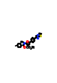 CCOC(=O)c1cc(-c2ccc(-c3cn4ccsc4n3)cc2)oc1N(C(=O)[C@H]1CC[C@H](C)CC1)C(C)C